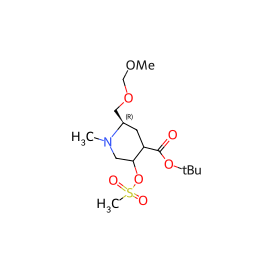 COCOC[C@H]1CC(C(=O)OC(C)(C)C)C(OS(C)(=O)=O)CN1C